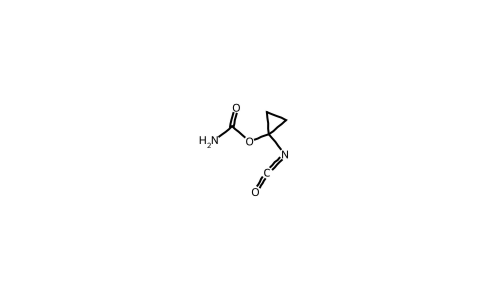 NC(=O)OC1(N=C=O)CC1